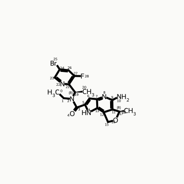 CCN(C(=O)c1cc2nc(N)c3c(c2[nH]1)CO[C@@H]3C)[C@H](C)c1ncc(Br)cc1F